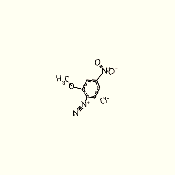 COc1cc([N+](=O)[O-])ccc1[N+]#N.[Cl-]